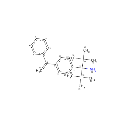 C=C(c1ccccc1)c1ccc(C(N)(C(C)(C)C)C(C)(C)C)cc1